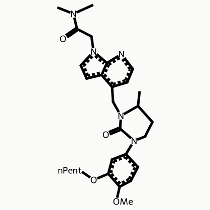 CCCCCOc1cc(N2CCC(C)N(Cc3ccnc4c3ccn4CC(=O)N(C)C)C2=O)ccc1OC